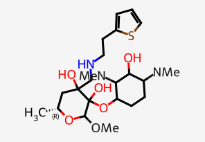 CNC1CCC(OC2(O)C(OC)O[C@H](C)CC2(O)CNCCc2cccs2)C(NC)C1O